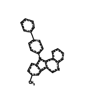 Cc1ccc2c(c1)c1cnc3ccccc3c1n2-c1ccc(-c2ccccc2)cc1